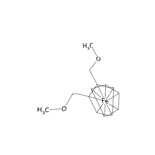 COC[C]12[CH]3[CH]4[CH]5[C]1(COC)[Fe]43521678[CH]2[CH]1[CH]6[CH]7[CH]28